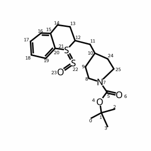 CC(C)(C)OC(=O)N1CCC(CC2CCc3ccccc3S2=S=O)CC1